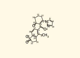 Cc1c(C(=O)C2=C(n3cccn3)CCCC2=O)ccc2c1CCS2(=O)=O